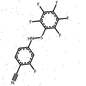 N#Cc1ccc(NSc2c(F)c(F)c(F)c(F)c2F)cc1F